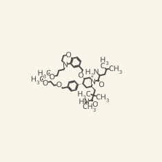 CNC(=O)C(C)(C)C[C@H]1C[C@H](c2ccc(COCCOC)cc2)[C@@H](OCc2ccc3c(c2)N(CCCOC)CCO3)CN1C(=O)C(N)CC(C)C